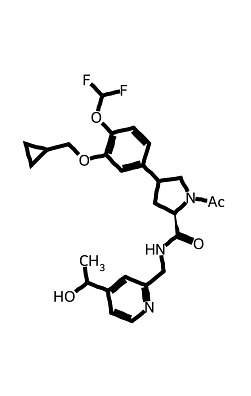 CC(=O)N1CC(c2ccc(OC(F)F)c(OCC3CC3)c2)C[C@@H]1C(=O)NCc1cc(C(C)O)ccn1